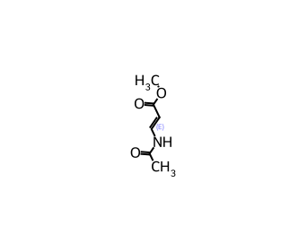 COC(=O)/C=C/NC(C)=O